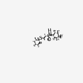 O=C(C=CSc1ccccc1)Nc1ccc(F)cc1